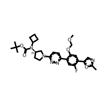 COCOc1cc(-c2cnc(C)o2)c(F)cc1-c1ccc(N2CC[C@@H](N(C(=O)OC(C)(C)C)C3CCC3)C2)nn1